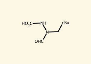 CCCCCN(C=O)NC(=O)O